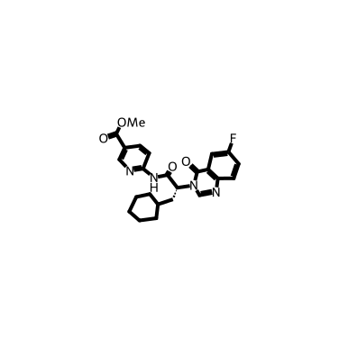 COC(=O)c1ccc(NC(=O)[C@@H](CC2CCCCC2)n2cnc3ccc(F)cc3c2=O)nc1